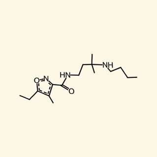 CCCCNC(C)(C)CCNC(=O)c1noc(CC)c1C